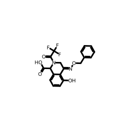 O=C(O)C1c2cccc(O)c2C(=NOCc2ccccc2)CN1C(=O)C(F)(F)F